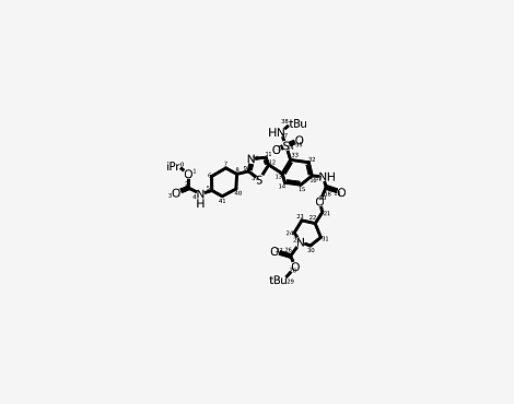 CC(C)OC(=O)NC1CCC(c2ncc(-c3ccc(NC(=O)OCC4CCN(C(=O)OC(C)(C)C)CC4)cc3S(=O)(=O)NC(C)(C)C)s2)CC1